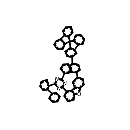 c1ccc(-c2nc(-c3ccccc3-c3ccccc3)nc(-c3cccc4oc5ccc(-c6ccc(-c7ccc8c(c7)-c7ccccc7C87c8ccccc8-c8ccccc87)cc6)cc5c34)n2)cc1